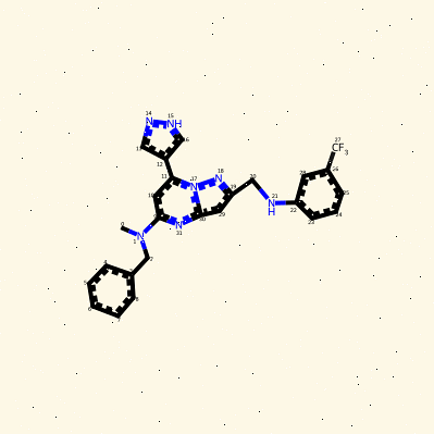 CN(Cc1ccccc1)c1cc(-c2cn[nH]c2)n2nc(CNc3cccc(C(F)(F)F)c3)cc2n1